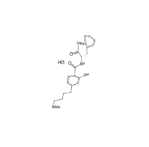 CNCCCCc1ccc(C(=O)N[C@@H](Cc2ccccc2)C(=O)OC)c(O)c1.Cl